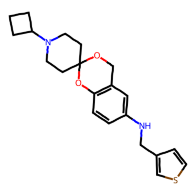 c1cc(CNc2ccc3c(c2)COC2(CCN(C4CCC4)CC2)O3)cs1